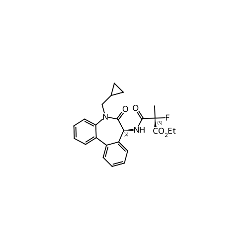 CCOC(=O)[C@@](C)(F)C(=O)N[C@@H]1C(=O)N(CC2CC2)c2ccccc2-c2ccccc21